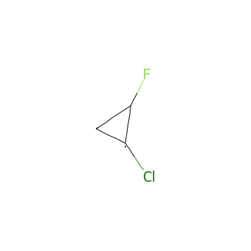 FC1C[C]1Cl